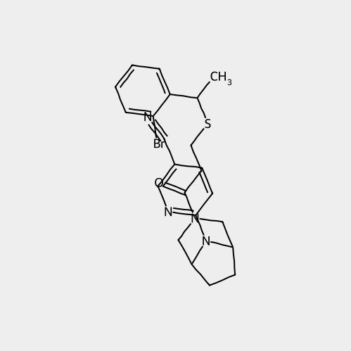 CC(SCCC(=O)N1CC2CCC(C1)N2c1ccc(C#N)cn1)c1ccccc1Br